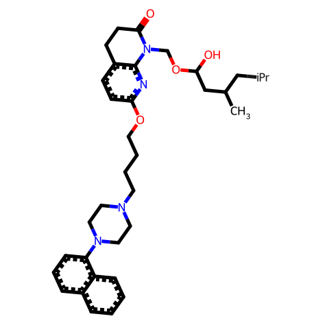 CC(C)CC(C)CC(O)OCN1C(=O)CCc2ccc(OCCCCN3CCN(c4cccc5ccccc45)CC3)nc21